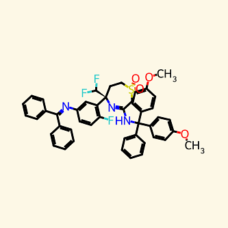 COc1ccc(C(NC2=N[C@@](c3cc(N=C(c4ccccc4)c4ccccc4)ccc3F)(C(F)F)CCS(=O)(=O)C2)(c2ccccc2)c2ccc(OC)cc2)cc1